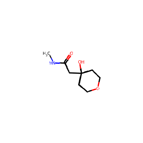 CNC(=O)CC1(O)CCOCC1